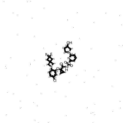 O=C(NS(=O)(=O)c1cccc(N2CCC(O)C2)n1)C1(Oc2cc(Cl)ccc2N2CC3(C2)CC(F)(F)C3)CC1